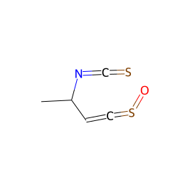 CC(C=C=S=O)N=C=S